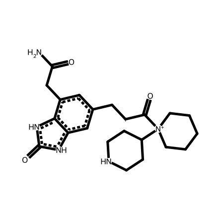 NC(=O)Cc1cc(C[CH]C(=O)[N+]2(C3CCNCC3)CCCCC2)cc2[nH]c(=O)[nH]c12